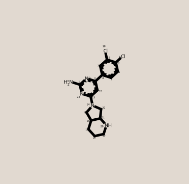 Nc1nc(-c2ccc(Cl)c(Cl)c2)cc(N2CC3CCCNC3C2)n1